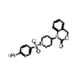 CCCc1ccc(S(=O)(=O)N2CCC(N3C(=O)OCc4ccccc43)CC2)cc1